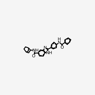 O=C(Nc1ccc(-c2nc3cc(C(=O)NC4CC5CCC4C5)ccc3[nH]2)cc1)c1ccccc1